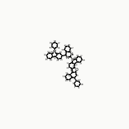 c1ccc(-c2cc3oc4c(ccc5c4c4ccccc4n5-c4nc(-c5ccc6c7ccccc7n(-c7ccccc7)c6c5)c5ccccc5n4)c3c3ccccc23)cc1